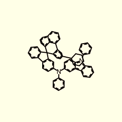 c1ccc(N(c2ccc3c(c2)C2(c4ccccc4-3)c3ccc(C4CCCCC4)cc3-c3cccc4cccc2c34)c2ccc3c(c2)c2ccccc2n3-c2ccccc2)cc1